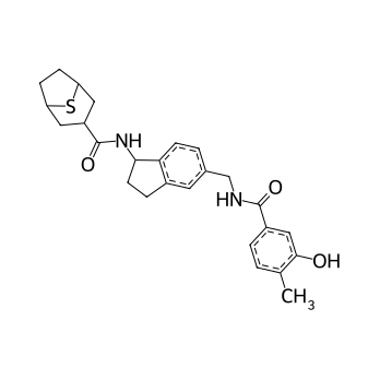 Cc1ccc(C(=O)NCc2ccc3c(c2)CCC3NC(=O)C2CC3CCC(C2)S3)cc1O